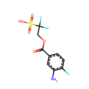 Nc1cc(C(=O)OCC(F)(F)S(=O)(=O)O)ccc1F